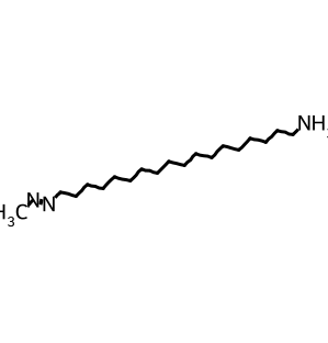 CN=NCCCCCCCCCCCCCCCCCCN